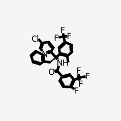 Cc1ccc(C(F)(F)F)cc1[C@](Cc1ccccc1)(NC(=O)c1ccc(F)c(C(F)(F)F)c1)c1ccc(Cl)cn1